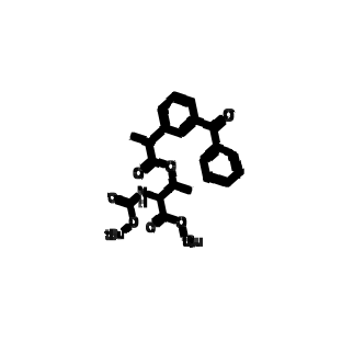 CC(C(=O)OC(C)C(NC(=O)OC(C)(C)C)C(=O)OC(C)(C)C)c1cccc(C(=O)c2ccccc2)c1